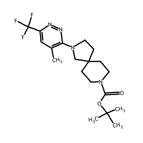 Cc1cc(C(F)(F)F)nnc1N1CCC2(CCN(C(=O)OC(C)(C)C)CC2)C1